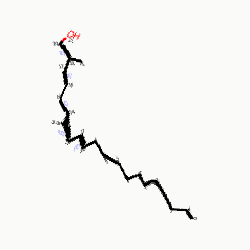 CCCCCCCCCC/C=C/C=C\C=C\C=C\C(C)=C\O